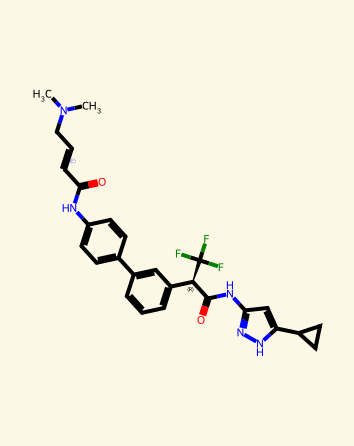 CN(C)C/C=C/C(=O)Nc1ccc(-c2cccc([C@H](C(=O)Nc3cc(C4CC4)[nH]n3)C(F)(F)F)c2)cc1